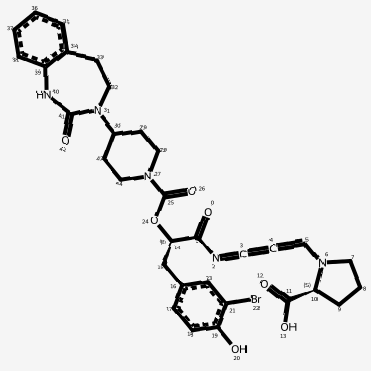 O=C(N=C=C=CN1CCC[C@H]1C(=O)O)[C@@H](Cc1ccc(O)c(Br)c1)OC(=O)N1CCC(N2CCc3ccccc3NC2=O)CC1